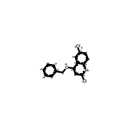 FC(F)(F)c1ccc2nc(Cl)cc(OCc3ccccc3)c2c1